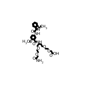 COc1ccc(NC(=O)c2nn(C)c3ccccc23)cc1C(=O)NC(CCOCCOCC(=O)O)COCCOCC(N)=O